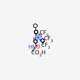 O=C(O)CCNC(=O)c1ccc(CN(/C(=N\CC(F)(F)F)Nc2cc(C(F)(F)F)cc(C(F)(F)F)c2)c2ccc(C3CCCCC3)cc2)cc1